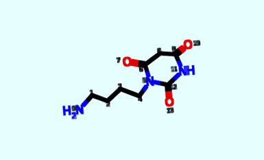 NCCCCN1C(=O)CC(=O)NC1=O